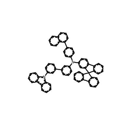 c1cc(-c2cccc(-n3c4ccccc4c4ccccc43)c2)cc(N(c2ccc(-c3cccc4ccccc34)cc2)c2ccc3c(c2)C2(c4ccccc4-c4ccccc42)c2ccccc2-3)c1